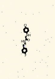 O=C(CNc1ccc(Cl)cc1)N/N=C/c1ccc(F)cc1